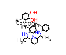 CC(C)c1ccc(O)c(O)c1C(=O)[O-].CC(C)c1ccccc1NC(C)c1cccc(C(C)Nc2ccccc2C(C)C)n1.[Co+]